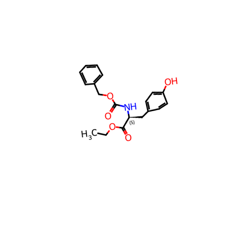 CCOC(=O)[C@H](Cc1ccc(O)cc1)NC(=O)OCc1ccccc1